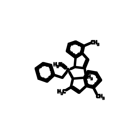 CC1=Cc2c(C)cccc2[CH]1[Zr](=[SiH2])([CH2]c1ccccc1)[CH]1C(C)=Cc2c(C)cccc21